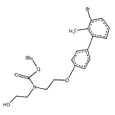 Cc1c(Br)cccc1-c1ccc(OCCN(CCO)C(=O)OC(C)(C)C)cc1